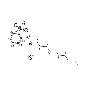 CCCCCCCCCCCCc1ccccc1S(=O)(=O)[O-].[K+]